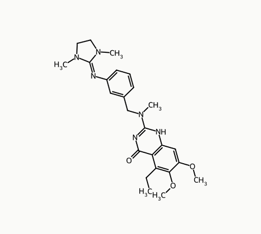 CCc1c(OC)c(OC)cc2[nH]c(N(C)Cc3cccc(N=C4N(C)CCN4C)c3)nc(=O)c12